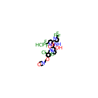 C[C@]12CCCN1N(Cc1c(Cl)cc(OCCN3CCOCC3)cc1Cl)C(=O)C(C(=O)Nc1ccc(C(F)(F)F)nc1-c1ccc(C(F)(F)F)nc1)=C2O.Cl